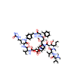 CC[C@H](C)[C@@H]([C@@H](CC(=O)N1CCC[C@H]1[C@H](OC)[C@@H](C)C(=O)N[C@@H](Cc1ccccc1)C(=O)NCc1ccc(NC(=O)[C@H](CCCNC(N)=O)NC(=O)[C@@H](NC(=O)CCC(=O)N2C3CCC2CC(C(=O)O)C3)C(C)C)cc1)OC)N(C)C(=O)[C@@H](NC(=O)[C@H](C(C)C)N(C)C)C(C)C